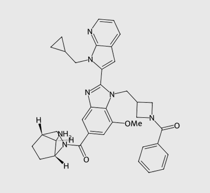 COc1cc(C(=O)N2C[C@H]3CC[C@@H]2[C@@H]3N)cc2nc(-c3cc4cccnc4n3CC3CC3)n(CC3CN(C(=O)c4ccccc4)C3)c12